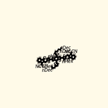 CCCCCCCCCCC(CCCCCCCCCC)Cc1ccc(-c2c3cc(-c4sc(/C=C5\C(=O)c6ccccc6C5=C(C#N)C#N)cc4CCCCCC)sc3c(-c3ccc(CC(CCCCCCCCCC)CCCCCCCCCC)s3)c3cc(-c4sc(/C=C5\C(=O)c6ccccc6C5=C(C#N)C#N)cc4CCCCCC)sc23)s1